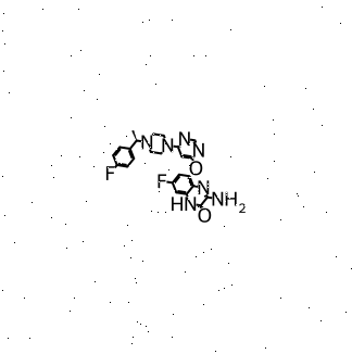 C[C@H](c1ccc(F)cc1)N1CCN(c2cc(Oc3cc(F)cc4[nH]c(=O)c(N)nc34)ncn2)CC1